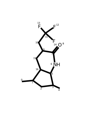 CC1CC(C)C2NC(=O)C(CC(F)(F)F)CC12